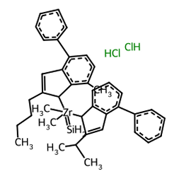 CCCCC1=Cc2c(-c3ccccc3)ccc(C)c2[CH]1[Zr]([CH3])([CH3])(=[SiH2])[CH]1C(C(C)C)=Cc2c(-c3ccccc3)cccc21.Cl.Cl